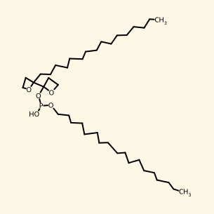 CCCCCCCCCCCCCCCCCCOP(O)OC1(C2(CCCCCCCCCCCCCCCC)CCO2)CCO1